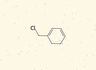 ClCC1=CC=C[CH]C1